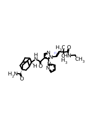 CCNC(=O)C(C)(C)/C=C/n1ncc(C(=O)N[C@H]2C3CC4CC2C[C@](C(N)=O)(C4)C3)c1-n1cccn1